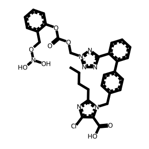 CCCCc1nc(Cl)c(C(=O)O)n1Cc1ccc(-c2ccccc2-c2nnn(COC(=O)Oc3ccccc3CON(O)O)n2)cc1